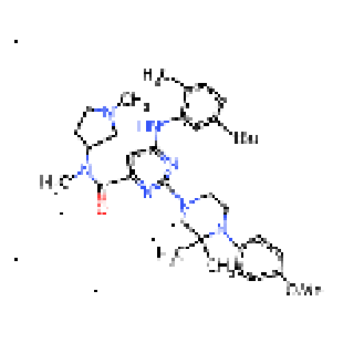 COc1ccc(N2CCN(c3nc(Nc4cc(C(C)(C)C)ccc4C)cc(C(=O)N(C)C4CCN(C)C4)n3)CC2(C)C)cc1